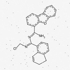 N/C(=N\C(=N/CCl)c1cccc2c1C=CCC2)c1cccc2c1oc1ccccc12